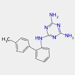 Cc1ccc(-c2ccccc2Nc2nc(N)nc(N)n2)cc1